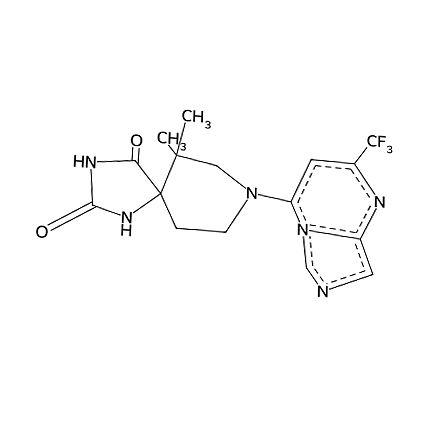 CC1(C)CN(c2cc(C(F)(F)F)nc3cncn23)CCC12NC(=O)NC2=O